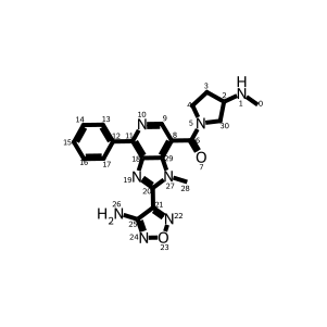 CNC1CCN(C(=O)c2cnc(-c3ccccc3)c3nc(-c4nonc4N)n(C)c23)C1